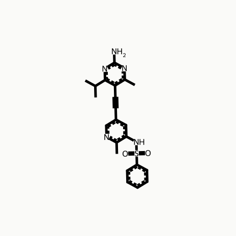 Cc1ncc(C#Cc2c(C)nc(N)nc2C(C)C)cc1NS(=O)(=O)c1ccccc1